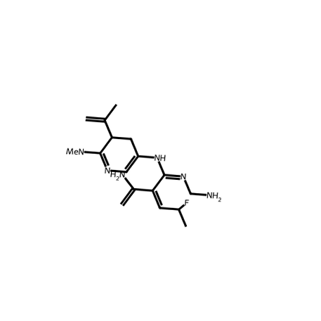 C=C(N)C(=C/C(C)F)/C(=N\CN)NC1=CN=C(NC)C(C(=C)C)C1